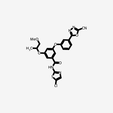 COCC(C)Oc1cc(Oc2cccc(-c3nnc(C#N)o3)c2)cc(C(=O)Nc2ncc(Cl)s2)c1